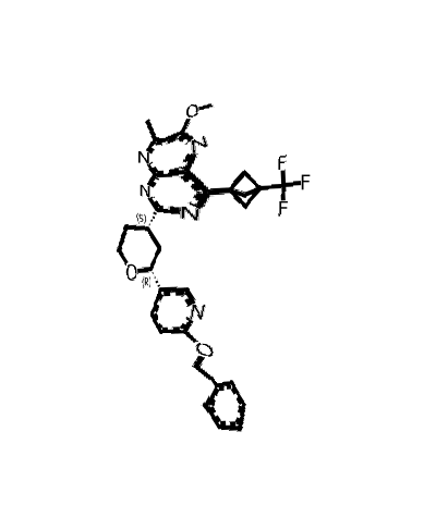 COc1nc2c(C34CC(C(F)(F)F)(C3)C4)nc([C@H]3CCO[C@@H](c4ccc(OCc5ccccc5)nc4)C3)nc2nc1C